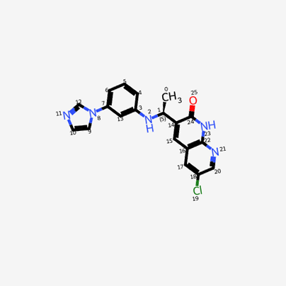 C[C@H](Nc1cccc(-n2ccnc2)c1)c1cc2cc(Cl)cnc2[nH]c1=O